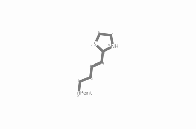 CCCCCCCCCC1NCCS1